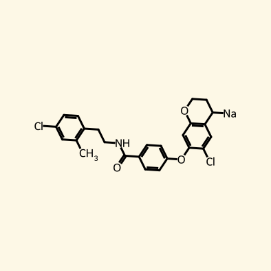 Cc1cc(Cl)ccc1CCNC(=O)c1ccc(Oc2cc3c(cc2Cl)[CH]([Na])CCO3)cc1